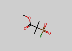 COC(=O)C(C)(C)S(=O)(=O)F